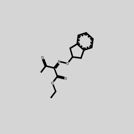 CCOC(=O)/C(=N\OC1Cc2ccccc2C1)C(C)=O